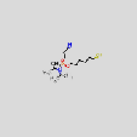 CC(C)N(C(C)C)P(OCCC#N)OCCCCCCS